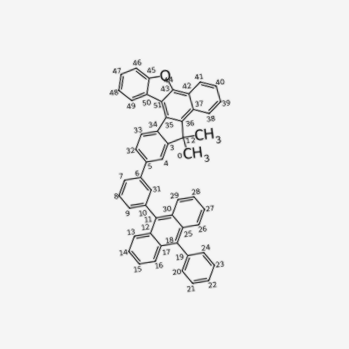 CC1(C)c2cc(-c3cccc(-c4c5ccccc5c(-c5ccccc5)c5ccccc45)c3)ccc2-c2c1c1ccccc1c1oc3ccccc3c21